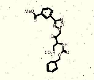 COC(=O)c1cccc(-c2nnn(CC(=O)C(CC(=O)O)NC(=O)OCc3ccccc3)n2)c1